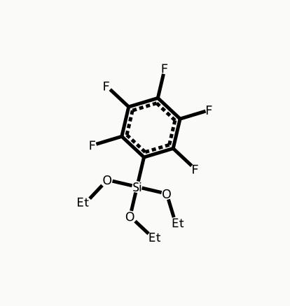 CCO[Si](OCC)(OCC)c1c(F)c(F)c(F)c(F)c1F